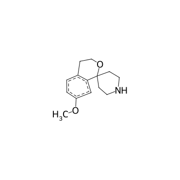 COc1ccc2c(c1)C1(CCNCC1)OCC2